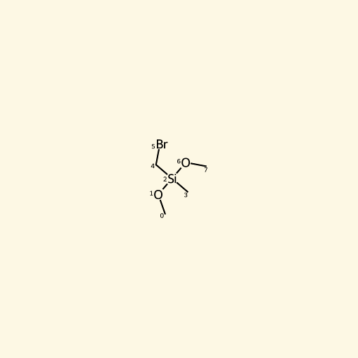 CO[Si](C)(CBr)OC